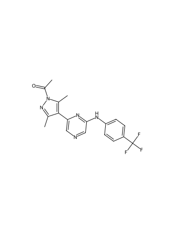 CC(=O)n1nc(C)c(-c2cncc(Nc3ccc(C(F)(F)F)cc3)n2)c1C